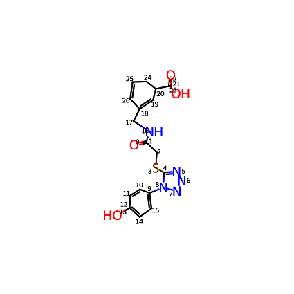 O=C(CSc1nnnn1-c1ccc(O)cc1)NCC1=CC(C(=O)O)CC=C1